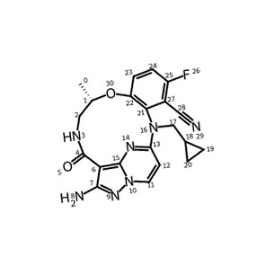 C[C@H]1CNC(=O)c2c(N)nn3ccc(nc23)N(CC2CC2)c2c(ccc(F)c2C#N)O1